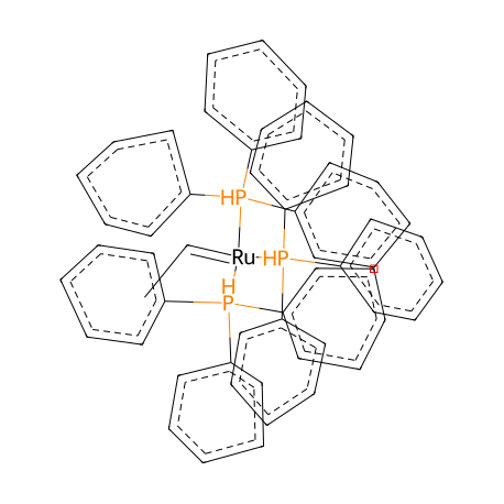 C[CH]=[Ru]([PH](c1ccccc1)(c1ccccc1)c1ccccc1)([PH](c1ccccc1)(c1ccccc1)c1ccccc1)[PH](c1ccccc1)(c1ccccc1)c1ccccc1